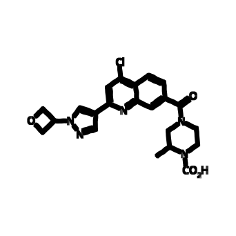 CC1CN(C(=O)c2ccc3c(Cl)cc(-c4cnn(C5COC5)c4)nc3c2)CCN1C(=O)O